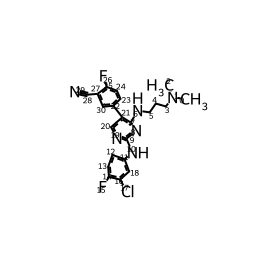 CN(C)CCCNc1nc(Nc2ccc(F)c(Cl)c2)ncc1-c1ccc(F)c(C#N)c1